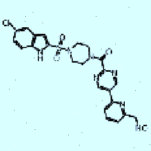 O=NCc1cccc(-c2cnc(C(=O)N3CCN(S(=O)(=O)c4cc5cc(Cl)ccc5[nH]4)CC3)nc2)n1